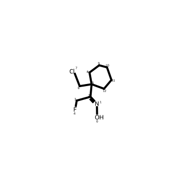 ON=C(CF)C1(CCl)CCCCC1